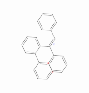 C(=C(\c1ccccc1)c1ccccc1-c1ccccc1)/c1ccccc1